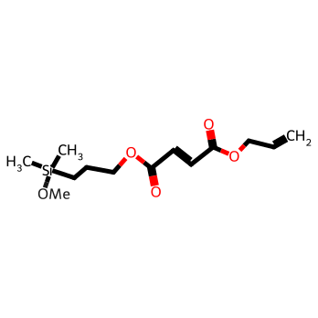 C=CCOC(=O)/C=C/C(=O)OCCC[Si](C)(C)OC